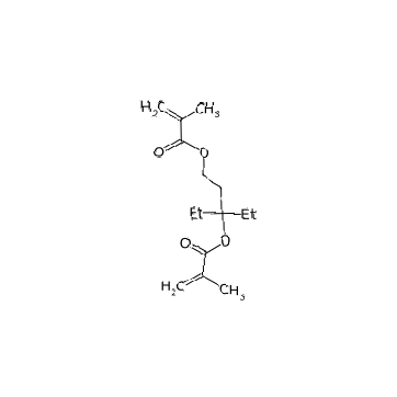 C=C(C)C(=O)OCCC(CC)(CC)OC(=O)C(=C)C